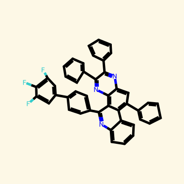 Fc1cc(-c2ccc(-c3nc4ccccc4c4c(-c5ccccc5)cc5nc(-c6ccccc6)c(-c6ccccc6)nc5c34)cc2)cc(F)c1F